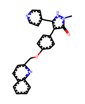 Cn1[nH]c(-c2ccncc2)c(-c2ccc(OCc3ccc4ccccc4n3)cc2)c1=O